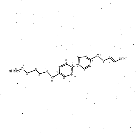 CCCC=CCOc1ccc(-c2ncc(OCCCCOCCCCCC)cn2)cc1